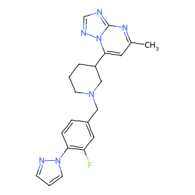 Cc1cc(C2CCCN(Cc3ccc(-n4cccn4)c(F)c3)C2)n2ncnc2n1